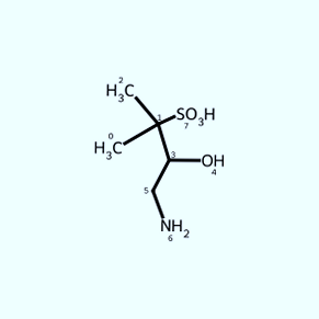 CC(C)(C(O)CN)S(=O)(=O)O